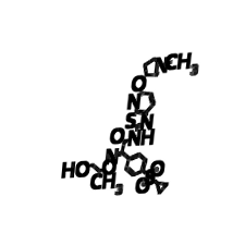 C[C@H](CO)O/N=C(/C(=O)Nc1nc2ccc(OC3CCN(C)C3)nc2s1)c1ccc(S(=O)(=O)C2CC2)cc1